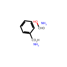 N.N.O=C(O)c1ccccc1.O=CO